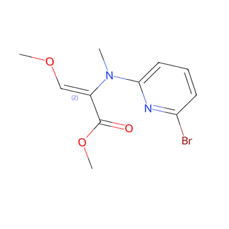 CO/C=C(/C(=O)OC)N(C)c1cccc(Br)n1